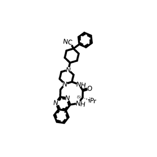 CC(C)[C@@H]1Nc2nc(nc3ccccc23)CN2CCN(C3CCC(C#N)(c4ccccc4)CC3)CC2NC1=O